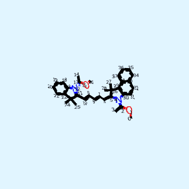 COC(C)N1/C(=C/C=C/C=C/C2=[N+](C(C)OC)c3ccccc3C2(C)C)C(C)(C)c2c1ccc1ccccc21